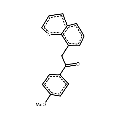 COc1ccc(C(=O)Cc2cccc3cccnc23)cc1